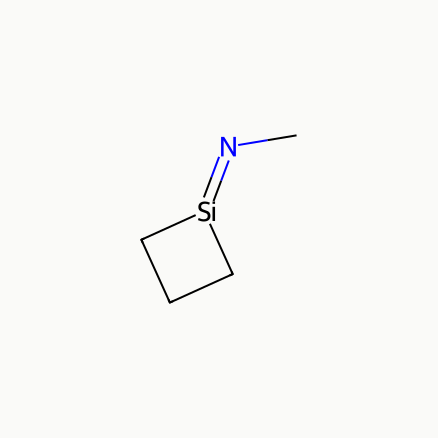 CN=[Si]1CCC1